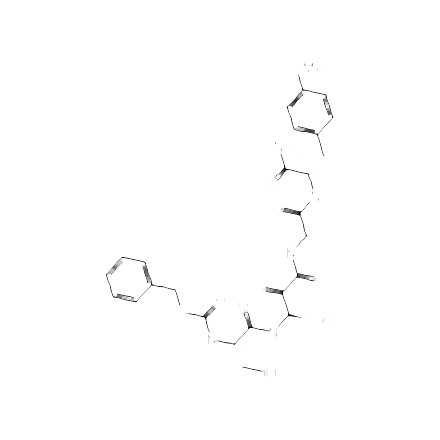 CC[C@H](C)C(NC(=O)[C@H](CC(C)C)NC(=O)OCc1ccccc1)C(=O)C(=O)NCC(=O)N[C@@H](Cc1ccc(OC)cc1)C(N)=O